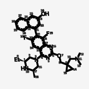 CC[C@@H]1CN(c2nc(OCC3(CN(C)C)CC3)nc3c(F)c(-c4cc(O)cc5ccccc45)c(F)cc23)C[C@@H](C)N1